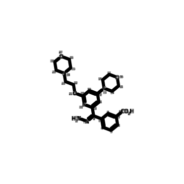 NN=C(c1cccc(C(=O)O)c1)c1cc(N2CCOCC2)cc(OCCN2CCOCC2)n1